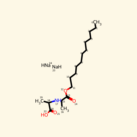 CCCCCCCCCCCCOC(=O)C(C)NC(C)C(=O)O.[NaH].[NaH]